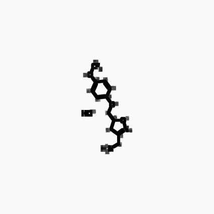 Cl.NCC1=NOC(COc2ccc(OC(F)(F)F)cc2)C1